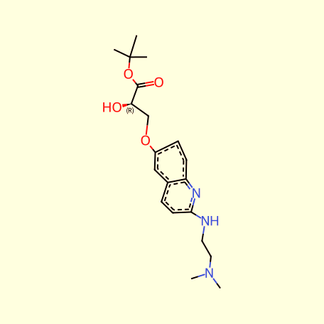 CN(C)CCNc1ccc2cc(OC[C@@H](O)C(=O)OC(C)(C)C)ccc2n1